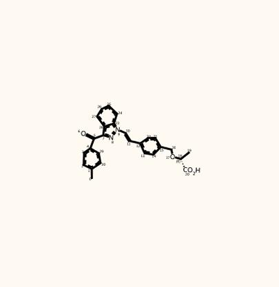 Cc1ccc(C(=O)c2nn(C=Cc3ccc(CO[C@H](C)C(=O)O)cc3)c3ccccc23)cc1